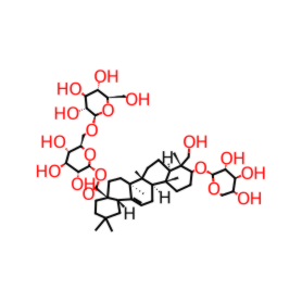 CC1(C)CC[C@]2(C(=O)O[C@@H]3O[C@H](CO[C@@H]4O[C@H](CO)[C@@H](O)[C@H](O)[C@H]4O)[C@@H](O)[C@H](O)[C@H]3O)CC[C@]3(C)C(=CC[C@@H]4[C@@]5(C)CC[C@H](O[C@@H]6OC[C@H](O)[C@H](O)[C@H]6O)[C@@](C)(CO)[C@@H]5CC[C@]43C)[C@@H]2C1